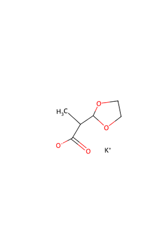 CC(C(=O)[O-])C1OCCO1.[K+]